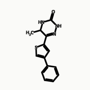 CC1NC(=O)NN=C1c1cc(-c2ccccc2)cs1